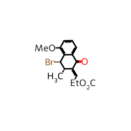 CCOC(=O)/C=C1/C(=O)c2cccc(OC)c2[C@H](Br)[C@@H]1C